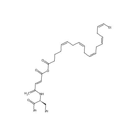 C=C(/C=C/C(=O)OC(=O)CCC/C=C\C/C=C\C/C=C\C/C=C\C/C=C\CC)N[C@@H](CC(C)C)C(=O)C(C)C